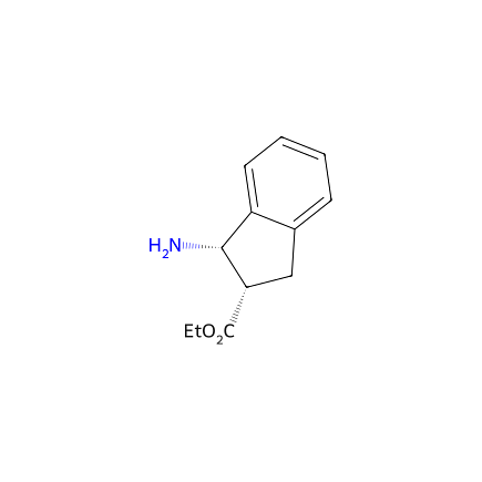 CCOC(=O)[C@H]1Cc2ccccc2[C@H]1N